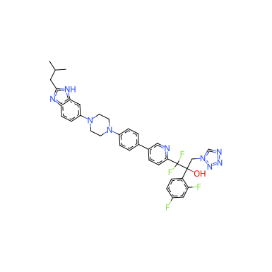 CC(C)Cc1nc2ccc(N3CCN(c4ccc(-c5ccc(C(F)(F)C(O)(Cn6cnnn6)c6ccc(F)cc6F)nc5)cc4)CC3)cc2[nH]1